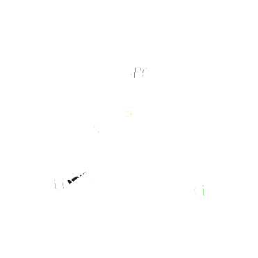 CC[C@H](CCCl)SSC(C)C